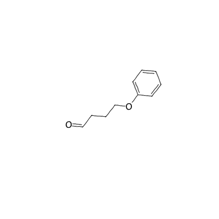 O=CCCCOc1ccccc1